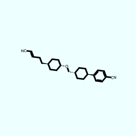 N#CC=CCC[C@H]1CC[C@H](OC[C@H]2CC[C@H](c3ccc(C#N)cc3)CC2)CC1